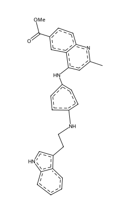 COC(=O)c1ccc2nc(C)cc(Nc3ccc(NCCc4c[nH]c5ccccc45)cc3)c2c1